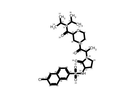 CC(C(=O)N1CCOC(C(=O)N(C(C)C)C(C)C)C1)N1CCC(NS(=O)(=O)c2ccc3cc(Cl)ccc3c2)C1=O